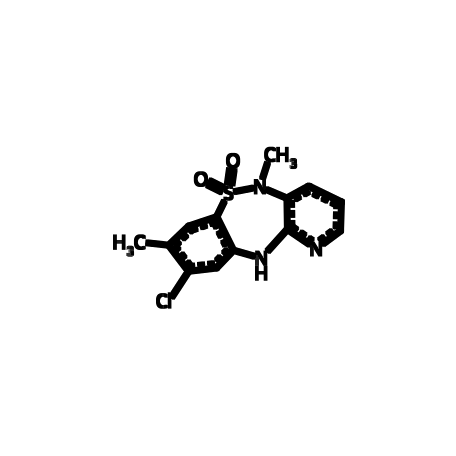 Cc1cc2c(cc1Cl)Nc1ncccc1N(C)S2(=O)=O